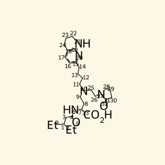 CCC(CC)CC(=O)NC(CCN(CCCCc1ccc2c(n1)NCCC2)CCN1CCCC1=O)C(=O)O